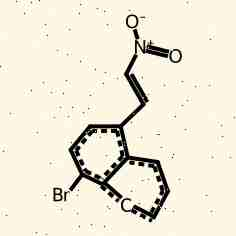 O=[N+]([O-])C=Cc1ccc(Br)c2ccccc12